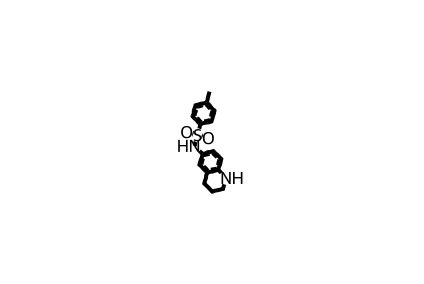 Cc1ccc(S(=O)(=O)Nc2ccc3c(c2)CCCN3)cc1